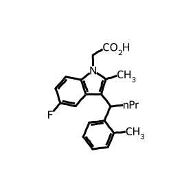 CCCC(c1ccccc1C)c1c(C)n(CC(=O)O)c2ccc(F)cc12